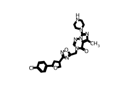 Cc1nc(N2CCNCC2)n2ncn(Cc3nc(C4COC(c5ccc(Cl)cc5)C4)no3)c(=O)c12